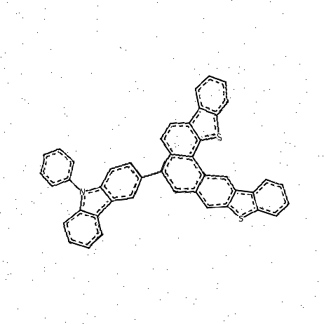 c1ccc(-n2c3ccccc3c3cc(-c4cc5cc6sc7ccccc7c6cc5c5c4ccc4c6ccccc6sc45)ccc32)cc1